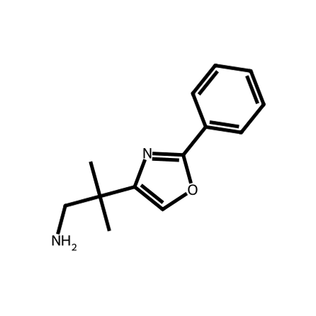 CC(C)(CN)c1coc(-c2ccccc2)n1